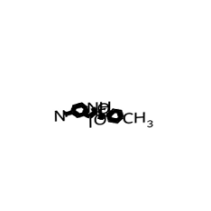 Cc1ccc(S(=O)(=O)c2[nH]c3ccc(C#N)cc3c2I)cc1